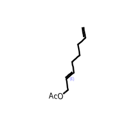 C=CCCC/C=C/COC(C)=O